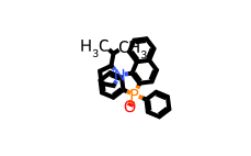 CC(C)C1CCCN1c1c(P(=O)(c2ccccc2)c2ccccc2)ccc2ccccc12